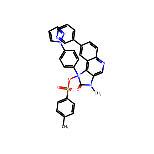 Cc1ccc(S(=O)(=O)O[N+]2(c3ccc(-n4cccn4)cc3)C(=O)N(C)c3cnc4ccc(-c5cccnc5)cc4c32)cc1